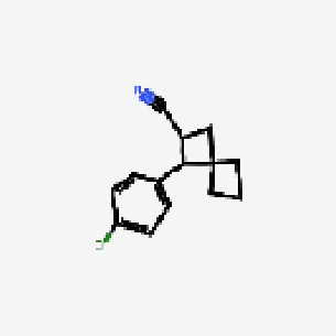 N#CC1CC2(CCC2)C1c1ccc(Cl)cc1